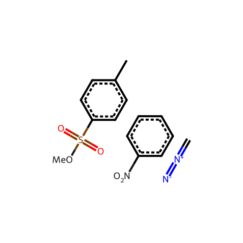 C=[N+]=[N-].COS(=O)(=O)c1ccc(C)cc1.O=[N+]([O-])c1ccccc1